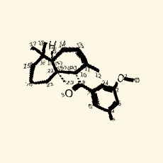 COc1cc(C)cc(C(=O)[C@H]2C(C)=CC[C@H]3C(C)(C)CCC[C@]23C)c1